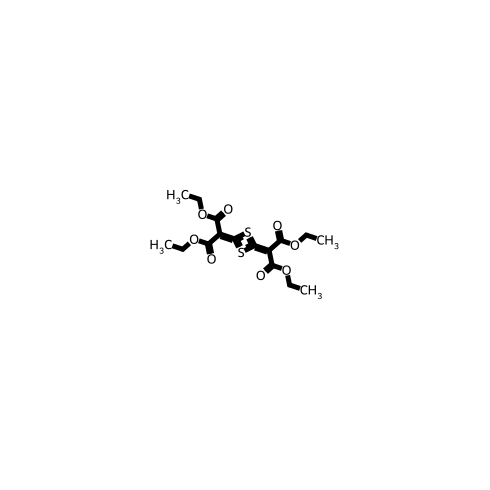 CCOC(=O)C(C(=O)OCC)=c1sc(=C(C(=O)OCC)C(=O)OCC)s1